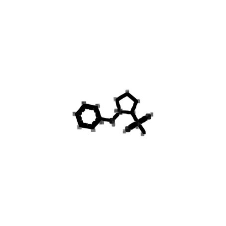 CS(=O)(=O)C1CCCN1Oc1ccccc1